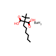 CCCCCCC(C(=O)O)(C(=O)O)C(C)(C)C.[BaH2]